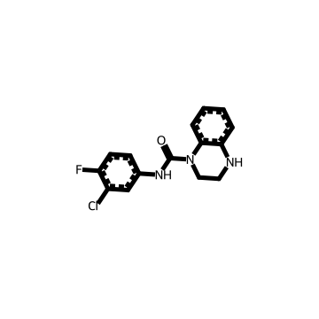 O=C(Nc1ccc(F)c(Cl)c1)N1CCNc2ccccc21